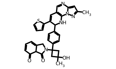 Cc1cc2ncc3c(n2n1)NC(c1ccc(C2(N4CC5=CC=CC(=O)C5C4=O)CC(C)(O)C2)cc1)C(c1cccs1)=C3